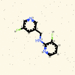 Fc1cncc(CNc2ncccc2F)c1